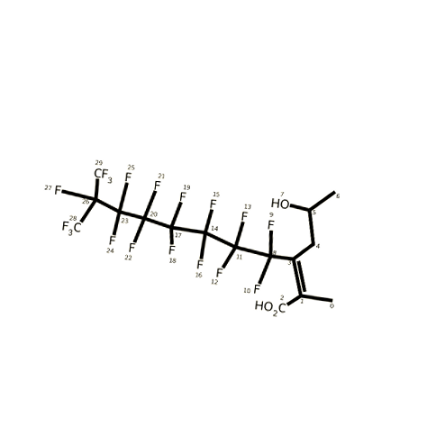 CC(C(=O)O)=C(CC(C)O)C(F)(F)C(F)(F)C(F)(F)C(F)(F)C(F)(F)C(F)(F)C(F)(C(F)(F)F)C(F)(F)F